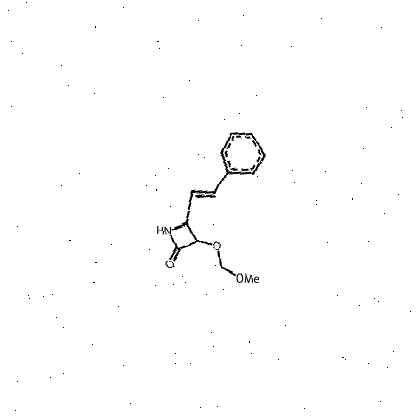 COCOC1C(=O)NC1/C=C/c1ccccc1